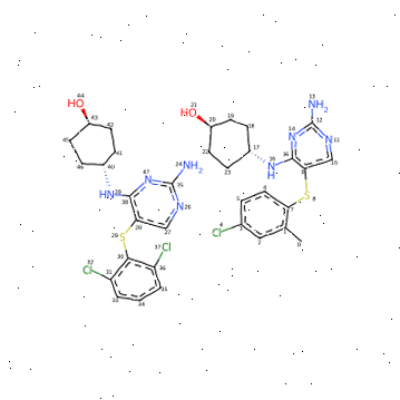 Cc1cc(Cl)ccc1Sc1cnc(N)nc1N[C@H]1CC[C@H](O)CC1.Nc1ncc(Sc2c(Cl)cccc2Cl)c(N[C@H]2CC[C@H](O)CC2)n1